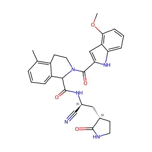 COc1cccc2[nH]c(C(=O)N3CCc4c(C)cccc4C3C(=O)N[C@H](C#N)C[C@@H]3CCNC3=O)cc12